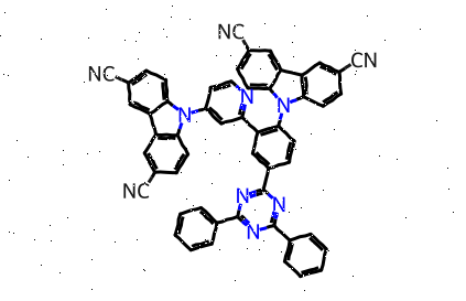 N#Cc1ccc2c(c1)c1cc(C#N)ccc1n2-c1ccnc(-c2cc(-c3nc(-c4ccccc4)nc(-c4ccccc4)n3)ccc2-n2c3ccc(C#N)cc3c3cc(C#N)ccc32)c1